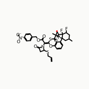 C=CCSC1CC(=O)N1C(C(=O)OCc1ccc([N+](=O)[O-])cc1)=C(Oc1cccc(C2(F)CC(C)CC(F)C2(F)C(C)C)c1)SC(=O)C(C)(C)C